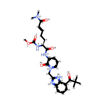 COC(=O)N[C@@H](CC/C=C/C(=O)N(C)C)C(=O)Nc1cccn(Cc2nc3cccc(C(=O)C(C)(C)C)c3[nH]2)c1=O